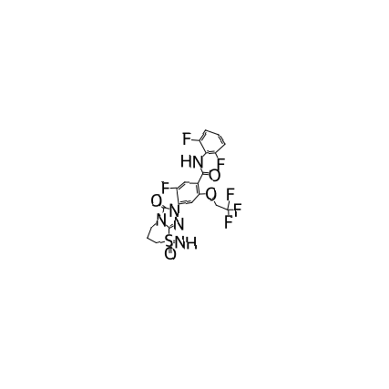 N=S1(=O)CCCn2c1nn(-c1cc(OCC(F)(F)F)c(C(=O)Nc3c(F)cccc3F)cc1F)c2=O